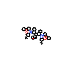 CC(C)(C)c1ccc(N(c2cc3c(c4ccccc24)-c2c(cc(N(c4ccc(C(C)(C)C)cc4)c4cccc5c4oc4ccccc45)c4ccccc24)C32C3CC4CC(C3)CC2C4)c2cccc3c2oc2ccccc23)cc1